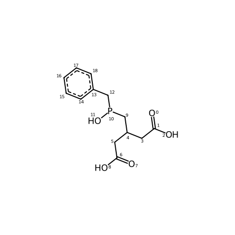 O=C(O)CC(CC(=O)O)CP(O)Cc1ccccc1